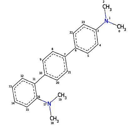 CN(C)c1ccc(-c2ccc(-c3ccccc3N(C)C)cc2)cc1